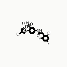 NS(=O)(=O)c1cc(NC(=O)Cc2c(F)cc(F)cc2Cl)ccc1-n1cc(Cl)cn1